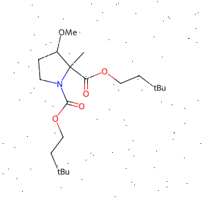 COC1CCN(C(=O)OCCC(C)(C)C)C1(C)C(=O)OCCC(C)(C)C